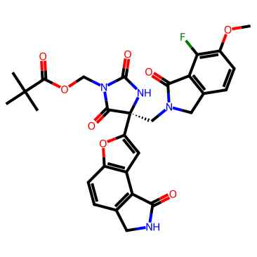 COc1ccc2c(c1F)C(=O)N(C[C@@]1(c3cc4c5c(ccc4o3)CNC5=O)NC(=O)N(COC(=O)C(C)(C)C)C1=O)C2